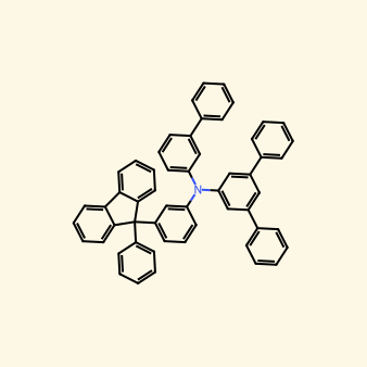 c1ccc(-c2cccc(N(c3cc(-c4ccccc4)cc(-c4ccccc4)c3)c3cccc(C4(c5ccccc5)c5ccccc5-c5ccccc54)c3)c2)cc1